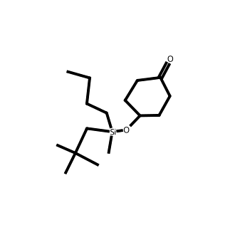 CCCC[Si](C)(CC(C)(C)C)OC1CCC(=O)CC1